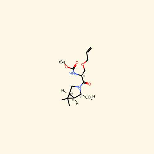 C=CCOC[C@H](NC(=O)OC(C)(C)C)C(=O)N1C[C@H]2[C@@H]([C@H]1C(=O)O)C2(C)C